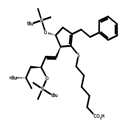 CCCC[C@@H](C)C[C@@H](/C=C/[C@@H]1C(SCCCCCC(=O)O)=C(CCc2ccccc2)C[C@H]1O[Si](C)(C)C(C)(C)C)O[Si](C)(C)C(C)(C)C